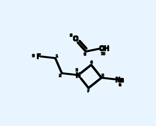 FCCN1C[CH]([Na])C1.O=CO